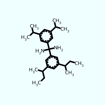 CCC(C)c1cc(C(C)CC)cc(C(N)(N)c2cc(C(C)C)cc(C(C)C)c2)c1